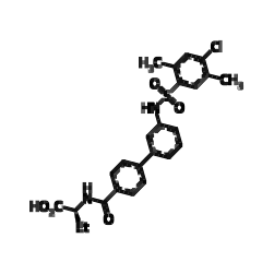 CC[C@H](NC(=O)c1ccc(-c2cccc(NS(=O)(=O)c3cc(C)c(Cl)cc3C)c2)cc1)C(=O)O